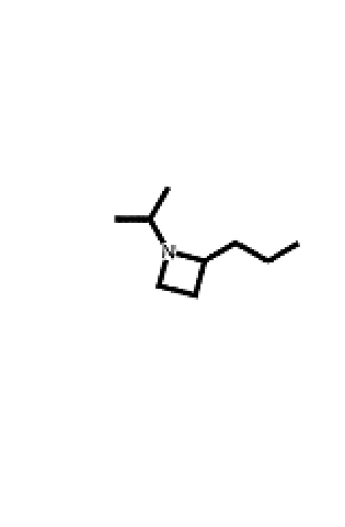 CCCC1CCN1C(C)C